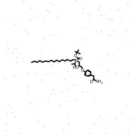 CCCCCCCCCCCCCCCC[N+](CC(O)COc1ccc(CC(N)=O)cc1)(C(=O)OC(C)(C)C)C(C)C